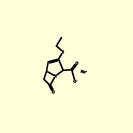 CCSC1=CC2CC(=O)N2C1C(=O)[O-].[Na+]